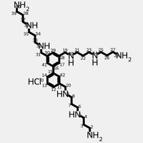 Cl.NCCCNCCCNCc1cccc(-c2cc(CNCCCNCCCN)cc(CNCCCNCCCN)c2)c1